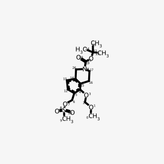 COCOc1c(COS(C)(=O)=O)ccc2c1CCN(C(=O)OC(C)(C)C)C2